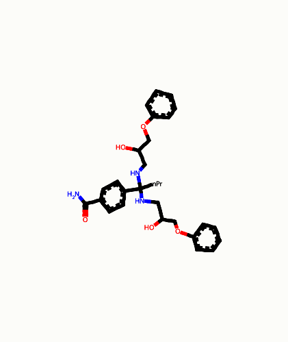 CCCC(NCC(O)COc1ccccc1)(NCC(O)COc1ccccc1)c1ccc(C(N)=O)cc1